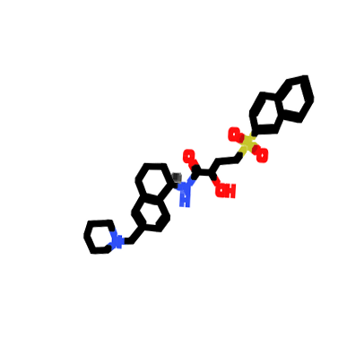 O=C(N[C@@H]1CCCc2cc(CN3CCCCC3)ccc21)C(O)CCS(=O)(=O)c1ccc2ccccc2c1